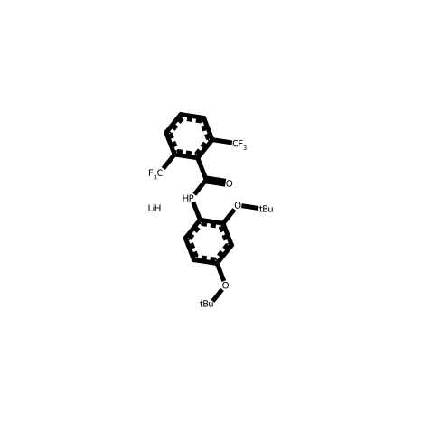 CC(C)(C)Oc1ccc(PC(=O)c2c(C(F)(F)F)cccc2C(F)(F)F)c(OC(C)(C)C)c1.[LiH]